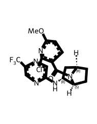 COc1ccc(C(=O)N2[C@@H]3CC[C@H]2[C@H](Nc2cnc(C(F)(F)F)cn2)C3)c(Cl)n1